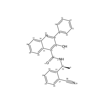 C[C@H](NC(=O)c1c(O)c(-c2ccccc2)nc2ccccc12)c1ccccc1C#N